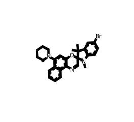 CN1c2ccc(Br)cc2C(C)(C)C12C=Nc1c(cc(N3CCCCC3)c3ccccc13)O2